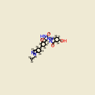 O=C1NC(=O)[C@](CN2Cc3ccc(O)cc3C2=O)(c2ccc(-c3ccc4c(cnn4CC4CC4)c3)cc2)N1